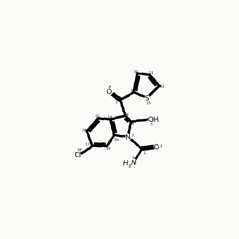 NC(=O)n1c(O)c(C(=O)c2cccs2)c2ccc(Cl)cc21